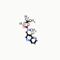 CN(Cc1cnc2cccnc2c1Cl)C(=O)OC(C)(C)C